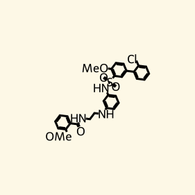 COc1ccccc1C(=O)NCCNc1cccc(NS(=O)(=O)c2cc(-c3ccccc3Cl)ccc2OC)c1